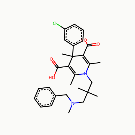 CC1=C(C(=O)O)C(C)(c2cccc(Cl)c2)C(C(=O)O)=C(C)N1CC(C)(C)CN(C)Cc1ccccc1